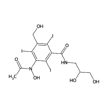 CC(=O)N(O)c1c(I)c(CO)c(I)c(C(=O)NCC(O)CO)c1I